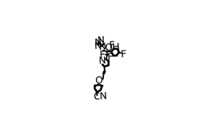 N#Cc1ccc(OCC#Cc2ccc(C(F)(F)C(O)(Cn3cnnn3)c3ccc(F)cc3F)nc2)cc1